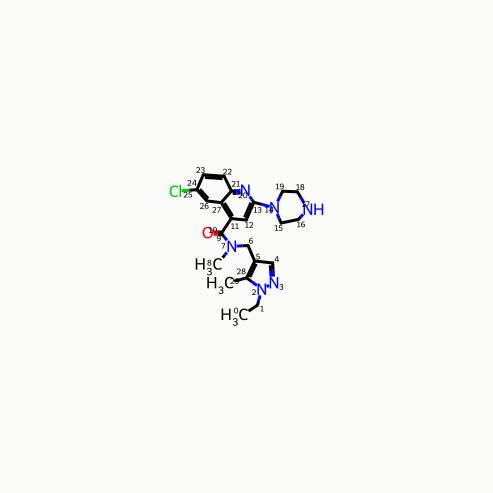 CCn1ncc(CN(C)C(=O)c2cc(N3CCNCC3)nc3ccc(Cl)cc23)c1C